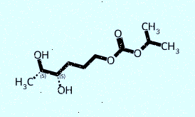 CC(C)OC(=O)OCCC[C@H](O)[C@H](C)O